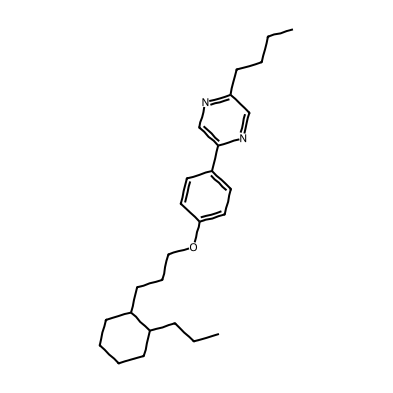 CCCCc1cnc(-c2ccc(OCCCC3CCCCC3CCC)cc2)cn1